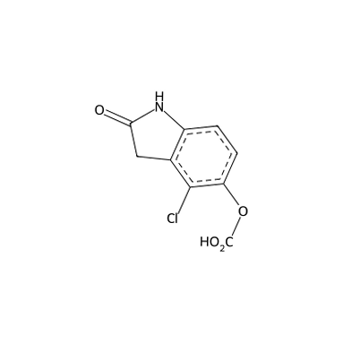 O=C1Cc2c(ccc(OC(=O)O)c2Cl)N1